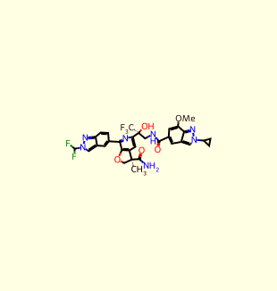 COc1cc(C(=O)NC[C@](O)(c2cc3c(c(-c4ccc5nn(C(F)F)cc5c4)n2)OC[C@]3(C)C(N)=O)C(F)(F)F)cc2cn(C3CC3)nc12